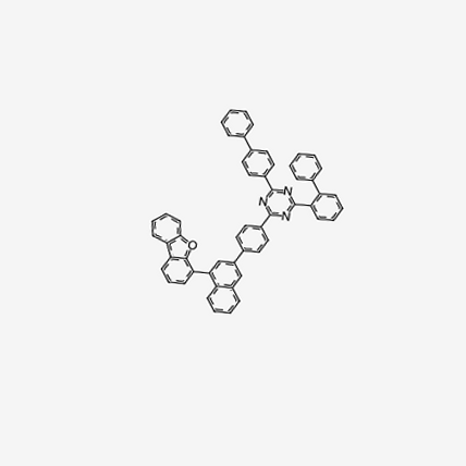 c1ccc(-c2ccc(-c3nc(-c4ccc(-c5cc(-c6cccc7c6oc6ccccc67)c6ccccc6c5)cc4)nc(-c4ccccc4-c4ccccc4)n3)cc2)cc1